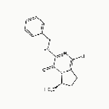 O=C(O)[C@@H]1CCc2c(Cl)nc(NCc3ccccc3)c(=O)n21